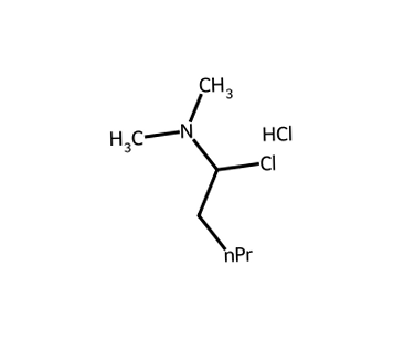 CCCCC(Cl)N(C)C.Cl